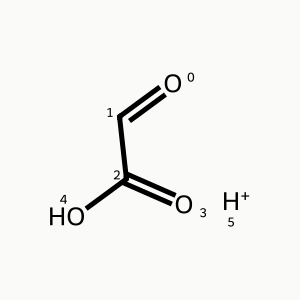 O=CC(=O)O.[H+]